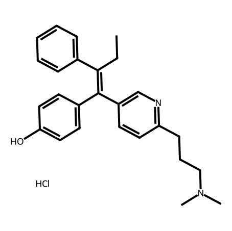 CC/C(=C(/c1ccc(O)cc1)c1ccc(CCCN(C)C)nc1)c1ccccc1.Cl